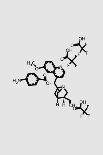 C=C[C@H]1CN2CC[C@@H]1CC2[C@H](OC(=O)c1ccc(N)cc1)c1ccnc2ccc(OC)cc12.O=C(O)C(F)(F)F.O=C(O)C(F)(F)F.O=C(O)C(F)(F)F